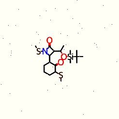 CSC1CCCC(C2C(C(C)O[Si](C)(C)C(C)(C)C)C(=O)N2SC)C1=O